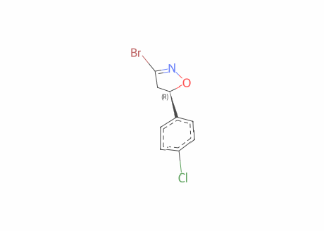 Clc1ccc([C@H]2CC(Br)=NO2)cc1